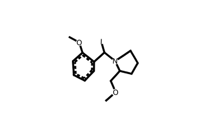 COCC1CCCN1C(I)c1ccccc1OC